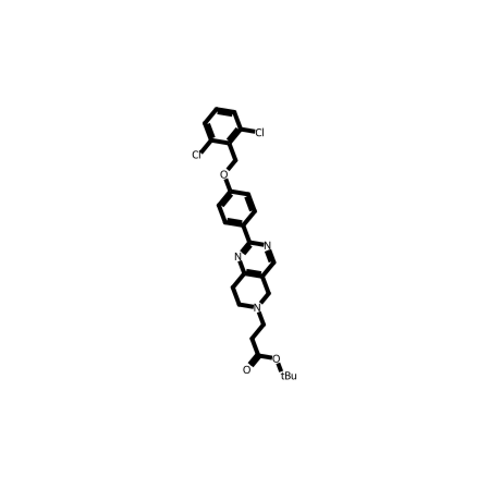 CC(C)(C)OC(=O)CCN1CCc2nc(-c3ccc(OCc4c(Cl)cccc4Cl)cc3)ncc2C1